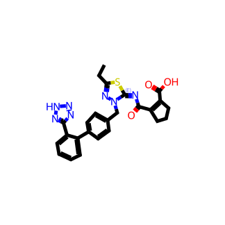 CCc1nn(Cc2ccc(-c3ccccc3-c3nn[nH]n3)cc2)/c(=N\C(=O)C2=C(C(=O)O)CCC2)s1